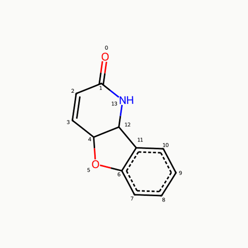 O=C1C=CC2Oc3ccccc3C2N1